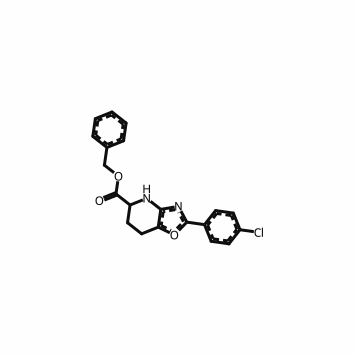 O=C(OCc1ccccc1)C1CCc2oc(-c3ccc(Cl)cc3)nc2N1